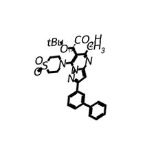 Cc1nc2cc(-c3cccc(-c4ccccc4)c3)nn2c(N2CCS(=O)(=O)CC2)c1[C@H](OC(C)(C)C)C(=O)O